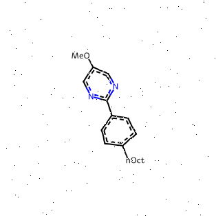 CCCCCCCCc1ccc(-c2ncc(OC)cn2)cc1